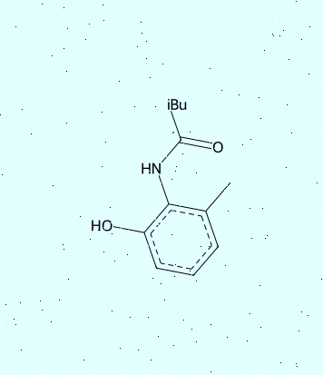 CCC(C)C(=O)Nc1c(C)cccc1O